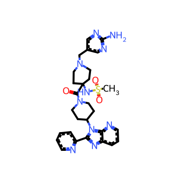 CS(=O)(=O)NC1(C(=O)N2CCC(n3c(-c4ccccn4)nc4cccnc43)CC2)CCN(Cc2cnc(N)nc2)CC1